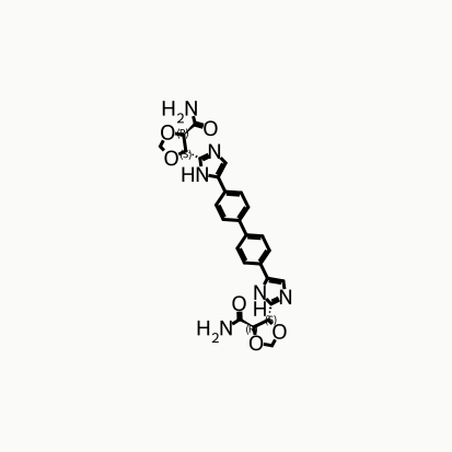 NC(=O)[C@@H]1OCO[C@H]1c1ncc(-c2ccc(-c3ccc(-c4cnc([C@@H]5OCO[C@H]5C(N)=O)[nH]4)cc3)cc2)[nH]1